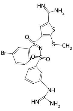 CSc1sc(C(=N)N)cc1S(=O)(=NS(=O)(=O)c1cccc(NC(=N)N)c1)c1cccc(Br)c1